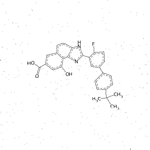 CC(C)(C)c1ccc(-c2ccc(F)c(-c3nc4c(ccc5cc(C(=O)O)cc(O)c54)[nH]3)c2)cc1